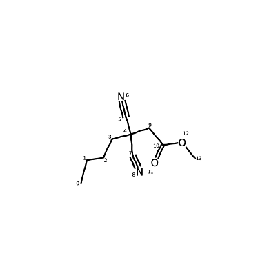 CCCCC(C#N)(C#N)CC(=O)OC